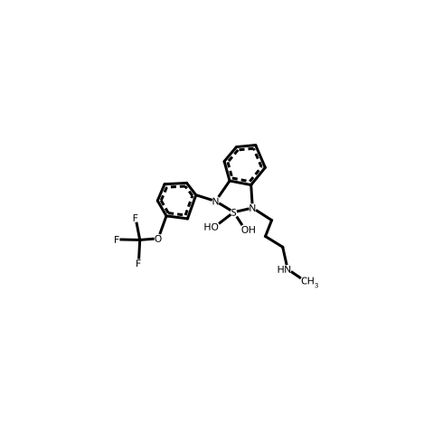 CNCCCN1c2ccccc2N(c2cccc(OC(F)(F)F)c2)S1(O)O